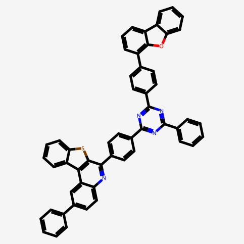 c1ccc(-c2ccc3nc(-c4ccc(-c5nc(-c6ccccc6)nc(-c6ccc(-c7cccc8c7oc7ccccc78)cc6)n5)cc4)c4sc5ccccc5c4c3c2)cc1